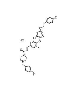 COc1ccc(CN2CCN(C(=O)C=Cc3cc(C)c(Oc4ccc(OCCc5ccc(Cl)cc5)cn4)c(Cl)c3)CC2)cc1.Cl